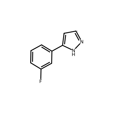 Fc1cccc(-c2c[c]n[nH]2)c1